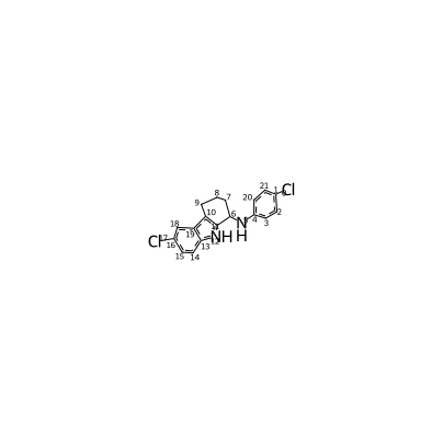 Clc1ccc(NC2CCCc3c2[nH]c2ccc(Cl)cc32)cc1